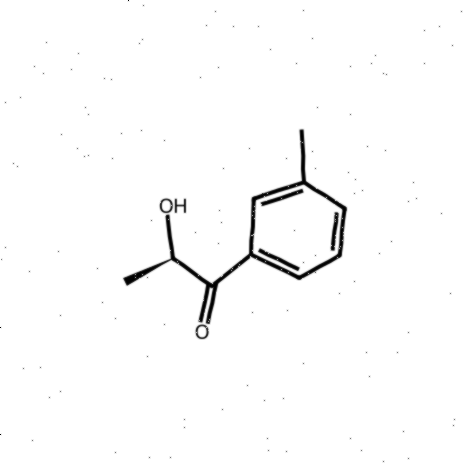 Cc1cccc(C(=O)[C@@H](C)O)c1